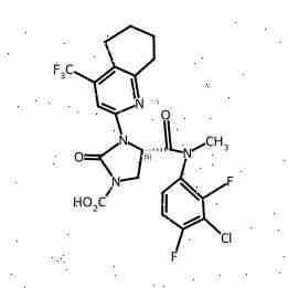 CN(C(=O)[C@@H]1CN(C(=O)O)C(=O)N1c1cc(C(F)(F)F)c2c(n1)CCCC2)c1ccc(F)c(Cl)c1F